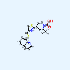 CC(C)(C)C1CC(c2nc(CSc3cccc4cccnc34)cs2)CCN1C(=O)O